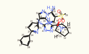 CN(C)c1nnc(C(=O)N2[C@@H]3CC[C@H]2C[C@H](c2nc4c(-c5ccc(-c6ccccc6)nc5)cnn4c(N)c2S(C)(=O)=O)C3)[nH]1